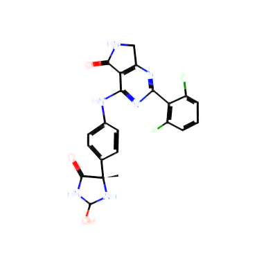 C[C@@]1(c2ccc(Nc3nc(-c4c(F)cccc4F)nc4c3C(=O)NC4)cc2)NC(O)NC1=O